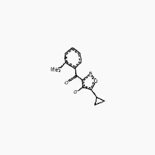 CSc1ccccc1C(=O)c1noc(C2CC2)c1Cl